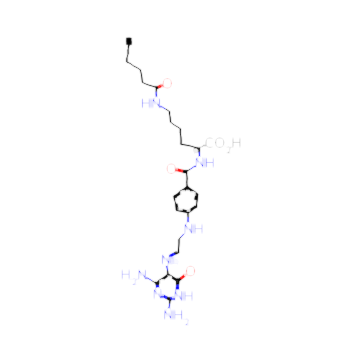 C#CCCCC(=O)NCCCC[C@H](NC(=O)c1ccc(NC/C=N/c2c(N)nc(N)[nH]c2=O)cc1)C(=O)O